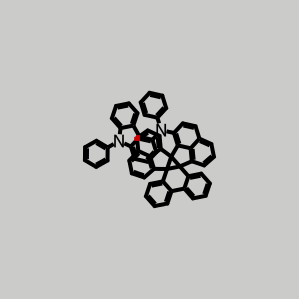 c1ccc(N(c2ccc3cccc4c3c2C23c5cccc6cccc(c56)C25c2ccccc2-c2ccccc2C453)c2cccc3c2c2ccccc2n3-c2ccccc2)cc1